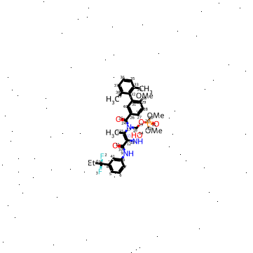 CCC(F)(F)c1cccc(NC(=O)/C(NO)=C(\C)N(COP(=O)(OC)OC)C(=O)c2ccc(OC)c(-c3c(C)cccc3C)c2)c1